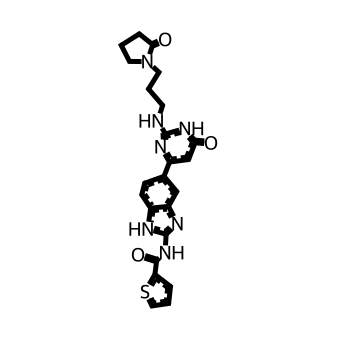 O=C(Nc1nc2cc(-c3cc(=O)[nH]c(NCCCN4CCCC4=O)n3)ccc2[nH]1)c1cccs1